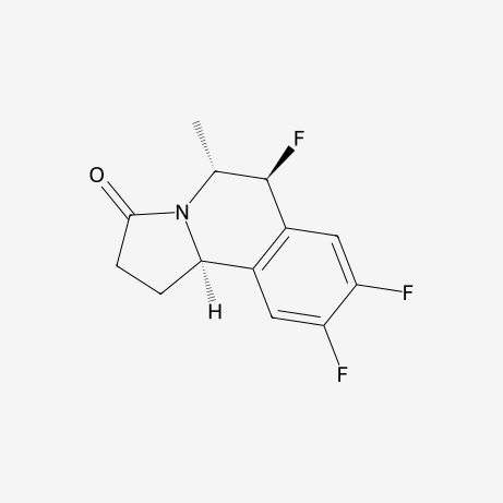 C[C@@H]1[C@@H](F)c2cc(F)c(F)cc2[C@H]2CCC(=O)N21